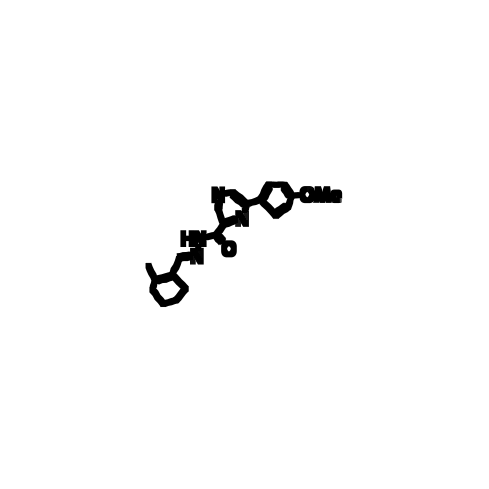 COc1ccc(-c2cncc(C(=O)NN=CC3=C(C)CCCC3)n2)cc1